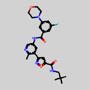 Cc1ncc(NC(=O)c2cc(F)cc(N3CCOCC3)c2)cc1-c1cc(C(=O)NCC(C)(C)C)on1